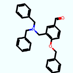 O=Cc1ccc(OCc2ccccc2)c(CN(Cc2ccccc2)Cc2ccccc2)c1